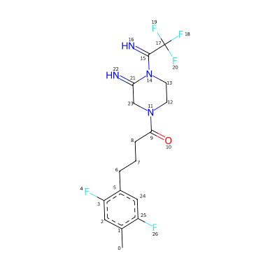 Cc1cc(F)c(CCCC(=O)N2CCN(C(=N)C(F)(F)F)C(=N)C2)cc1F